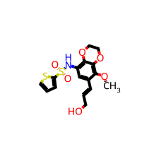 COc1c(/C=C/CO)cc(NS(=O)(=O)c2cccs2)c2c1OCCO2